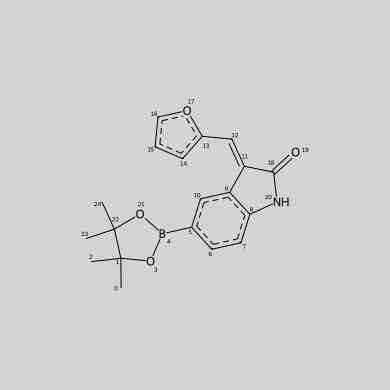 CC1(C)OB(c2ccc3c(c2)/C(=C\c2ccco2)C(=O)N3)OC1(C)C